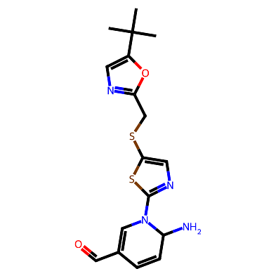 CC(C)(C)c1cnc(CSc2cnc(N3C=C(C=O)C=CC3N)s2)o1